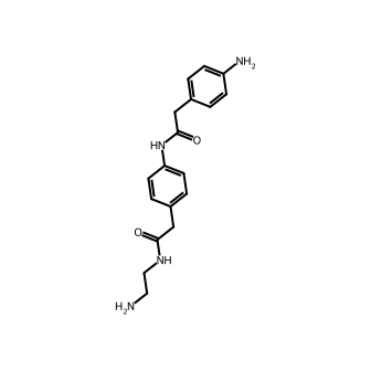 NCCNC(=O)Cc1ccc(NC(=O)Cc2ccc(N)cc2)cc1